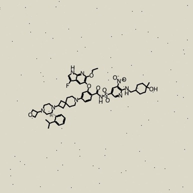 CCOc1nc2[nH]cc(F)c2cc1Oc1cc(N2CCC3(CC2)CC(N2CCN(C4COC4)C[C@H]2c2ccccc2C(C)C)C3)ccc1C(=O)NS(=O)(=O)c1cnc(NCC2CCC(C)(O)CC2)c([N+](=O)[O-])c1